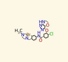 CCN1CCN(Cc2ccc(NC(=O)c3ccc(Cl)c(Oc4ncnc5c4OCCN5)c3)cc2Br)CC1